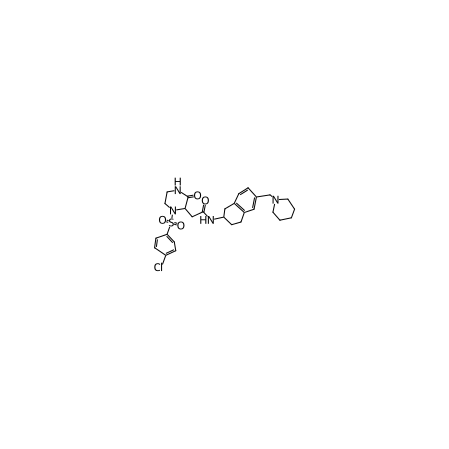 O=C(CC1C(=O)NCCN1S(=O)(=O)c1ccc(Cl)cc1)NC1CCc2cc(CN3CCCCC3)ccc2C1